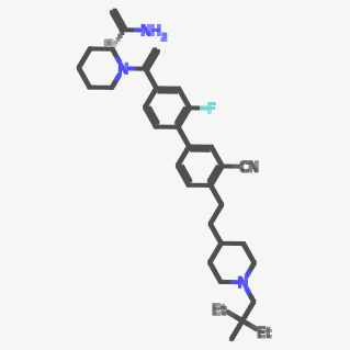 C=C(N)[C@H]1CCCCN1C(=C)c1ccc(-c2ccc(CCC3CCN(CC(C)(CC)CC)CC3)c(C#N)c2)c(F)c1